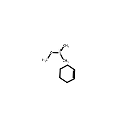 C1=CCCCC1.CO[SiH](C)C